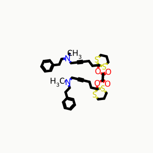 CN(CC#CCCC1(OC(=O)C(=O)OC2(CCC#CCN(C)CCc3ccccc3)SCCCS2)SCCCS1)CCc1ccccc1